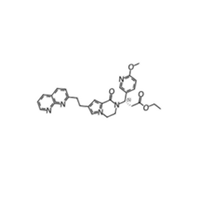 CCOC(=O)C[C@@H](c1ccc(OC)nc1)N1CCn2cc(CCc3ccc4cccnc4n3)cc2C1=O